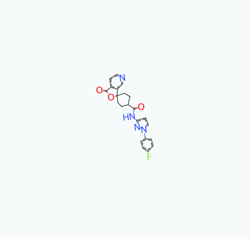 O=C1OC2(CCC(C(=O)Nc3ccn(-c4ccc(F)cc4)n3)CC2)c2cnccc21